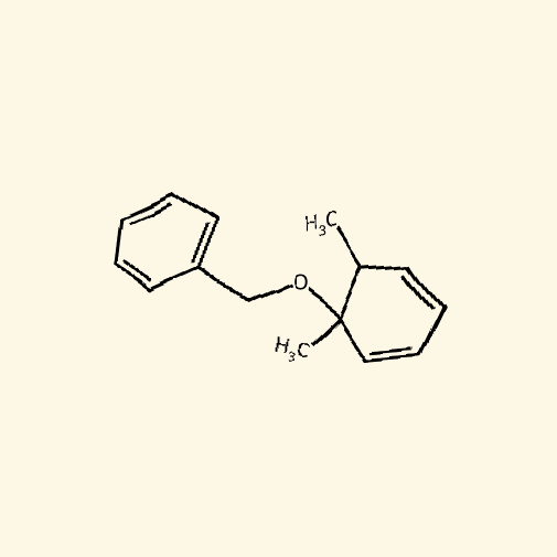 CC1C=CC=CC1(C)OCc1ccccc1